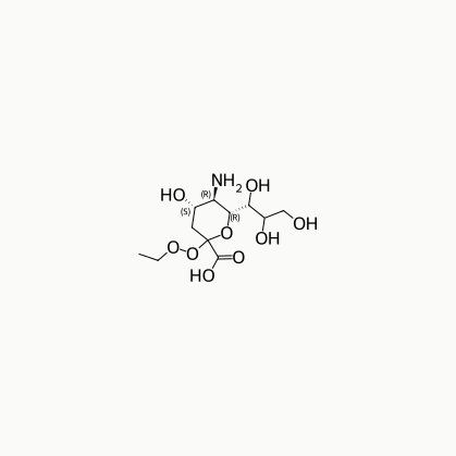 CCOOC1(C(=O)O)C[C@H](O)[C@@H](N)[C@H](C(O)C(O)CO)O1